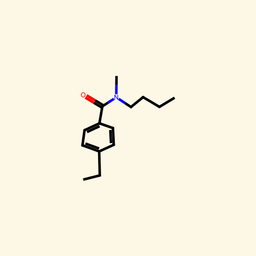 CCCCN(C)C(=O)c1ccc(CC)cc1